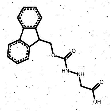 O=C(O)CNNC(=O)OCC1c2ccccc2-c2ccccc21